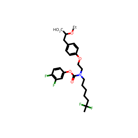 CCOC(Cc1ccc(OCCN(CCCCCC(C)(F)F)C(=O)Oc2ccc(F)c(F)c2)cc1)C(=O)O